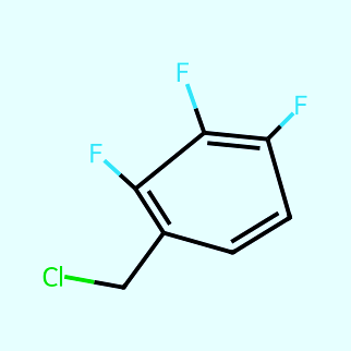 Fc1ccc(CCl)c(F)c1F